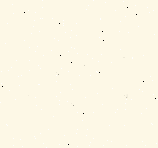 Nc1ccc(N)c(CNc2ccccc2N(CCO)CCO)c1CCO